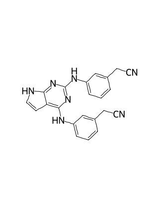 N#CCc1cccc(Nc2nc(Nc3cccc(CC#N)c3)c3cc[nH]c3n2)c1